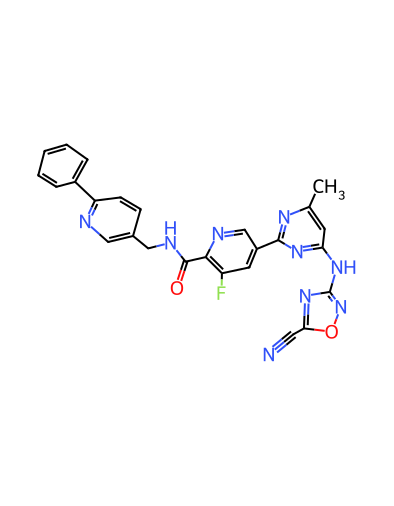 Cc1cc(Nc2noc(C#N)n2)nc(-c2cnc(C(=O)NCc3ccc(-c4ccccc4)nc3)c(F)c2)n1